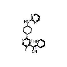 Cc1cnc(N2CCC(Nc3ncccn3)CC2)nc1/C(C#N)=C1/C=CC=CN1